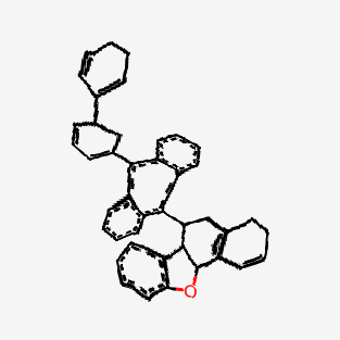 C1=CC(C2=CCCC=C2)CC(c2c3ccccc3c(C3CC4=C(C=CCC4)C4Oc5ccccc5C43)c3ccccc23)=C1